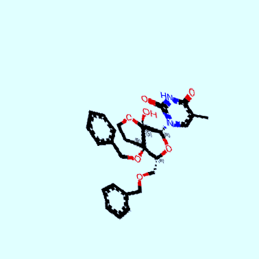 Cc1cn([C@@H]2O[C@H](COCc3ccccc3)[C@]3(OCc4ccccc4)CCO[C@]23O)c(=O)[nH]c1=O